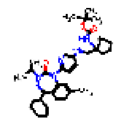 Cc1ccc2c(c1)N(c1ccc(NCC3(NC(=O)OC(C)(C)C)CCCC3)cn1)C(=O)N(C(C)C)N=C2C1CCCCC1